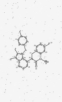 Cc1ccc(Cn2c(C)c(C)c3nccc(N(Cc4ccc(F)cc4)C(=O)OC(C)(C)C)c32)cc1